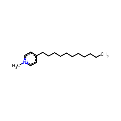 CCCCCCCCCCCc1cc[n+](C)cc1